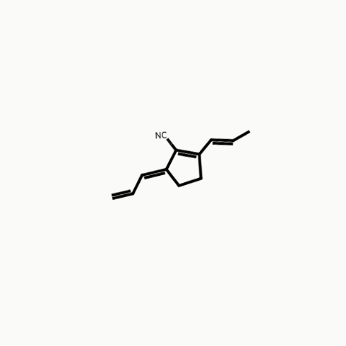 C=C/C=C1\CCC(/C=C/C)=C1C#N